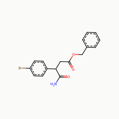 NC(=O)C(CC(=O)OCc1ccccc1)c1ccc(Br)cc1